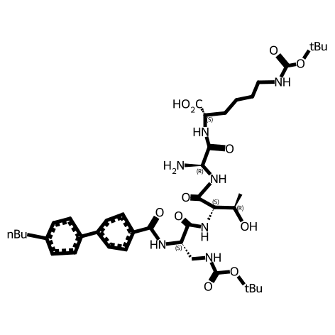 CCCCc1ccc(-c2ccc(C(=O)N[C@@H](CNC(=O)OC(C)(C)C)C(=O)N[C@H](C(=O)N[C@@H](N)C(=O)N[C@@H](CCCCNC(=O)OC(C)(C)C)C(=O)O)[C@@H](C)O)cc2)cc1